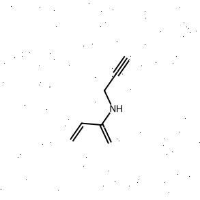 C#CCNC(=C)C=C